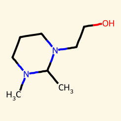 CC1N(C)CCCN1CCO